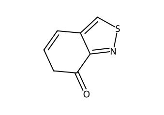 O=C1CC=Cc2csnc21